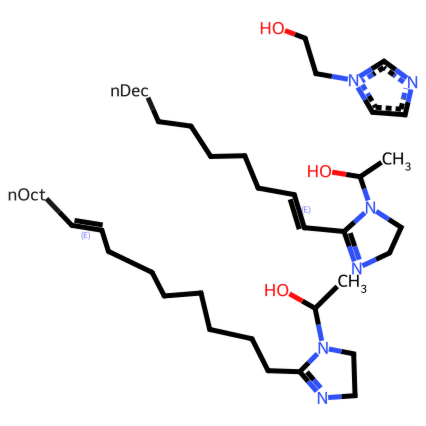 CCCCCCCC/C=C/CCCCCCCC1=NCCN1C(C)O.CCCCCCCCCCCCCCC/C=C/C1=NCCN1C(C)O.OCCn1ccnc1